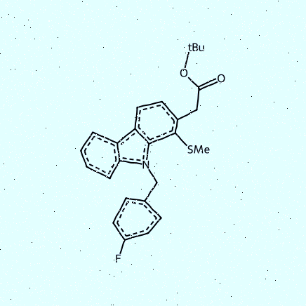 CSc1c(CC(=O)OC(C)(C)C)ccc2c3ccccc3n(Cc3ccc(F)cc3)c12